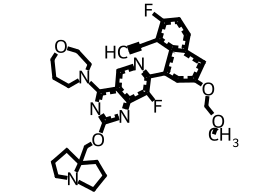 C#Cc1c(F)ccc2cc(OCOC)cc(-c3ncc4c(N5CCCOCC5)nc(OCC56CCCN5CCC6)nc4c3F)c12